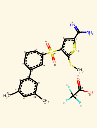 CSc1sc(C(=N)N)cc1S(=O)(=O)c1cccc(-c2cc(C)cc(C)c2)c1.O=C(O)C(F)(F)F